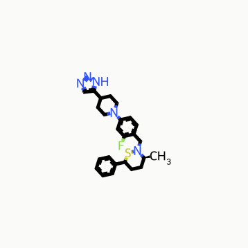 C[C@H]1CCC(c2ccccc2)SN1Cc1ccc(N2CCC(c3cnn[nH]3)CC2)cc1F